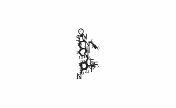 C#CCNC1=NC(=O)SC1=CC1CCN(Cc2ccc(C#N)cc2C(F)(F)F)CC1